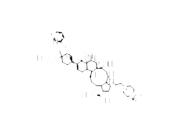 C=C(C)[C@@H]1CC[C@]2(NCCN3CCS(=O)(=O)CC3)CC[C@@H](C)[C@]3(C)CC[C@@]4(C)C(C)(C)C(C5=CCC(COc6cccnn6)(C(=O)O)CC5)=CC[C@]4(C)C3CCCC12